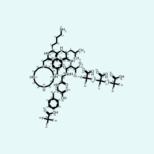 CC(C)C[C@H](NC(=O)[C@H](CCCCN)NC(=O)CN1CCNCCNCCNCC1)C(=O)N[C@H](C(=O)N[C@@H](Cc1ccccc1)C(=O)N[C@@H](Cc1ccccc1)C(=O)O)C(C)C.O=C(O)C(F)(F)F.O=C(O)C(F)(F)F.O=C(O)C(F)(F)F.O=C(O)C(F)(F)F